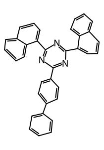 c1ccc(-c2ccc(-c3nc(-c4cccc5ccccc45)nc(-c4cccc5ccccc45)n3)cc2)cc1